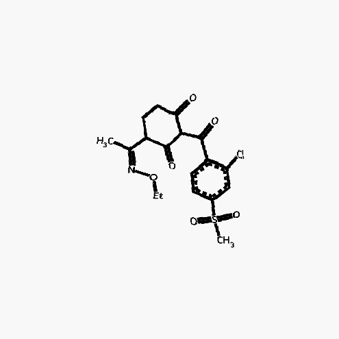 CCO/N=C(/C)C1CCC(=O)C(C(=O)c2ccc(S(C)(=O)=O)cc2Cl)C1=O